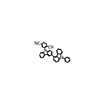 N#Cc1ccc(C#N)c(-n2c3ccccc3c3cc(-c4cccc5c4c4ccccc4n5-c4ccccc4)ccc32)c1